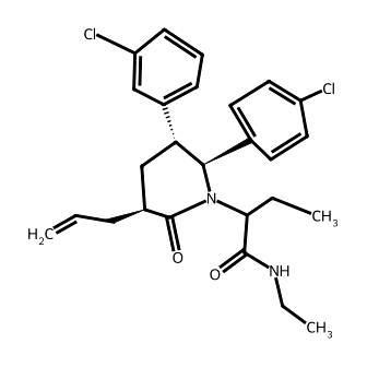 C=CC[C@H]1C[C@H](c2cccc(Cl)c2)[C@@H](c2ccc(Cl)cc2)N(C(CC)C(=O)NCC)C1=O